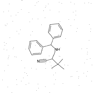 CC(C)(C)C(C#N)NC(c1ccccc1)c1ccccc1